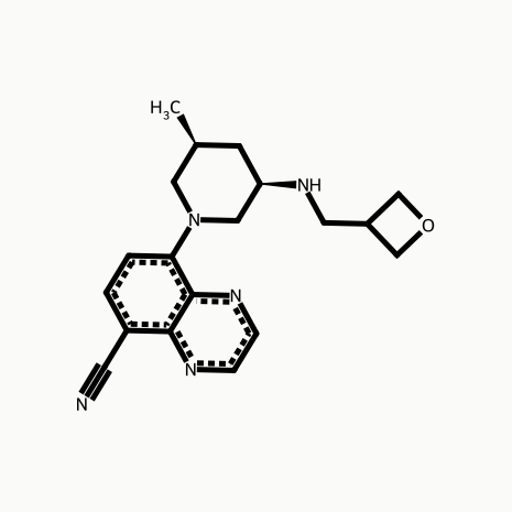 C[C@H]1C[C@@H](NCC2COC2)CN(c2ccc(C#N)c3nccnc23)C1